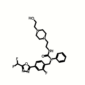 O=C(NCCN1CCN(CCO)CC1)N(Cc1ccc(-c2nnc(C(F)F)o2)cc1F)c1ccccc1